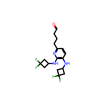 O=CCCCc1ccc(NC2CC(F)(F)C2)c(NC2CC(F)(F)C2)n1